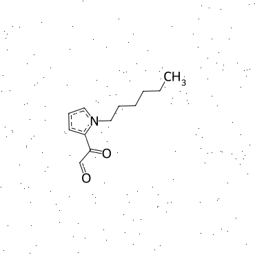 CCCCCCn1cccc1C(=O)C=O